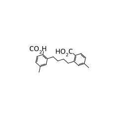 Cc1ccc(C(=O)O)c(CCCCc2cc(C)ccc2C(=O)O)c1